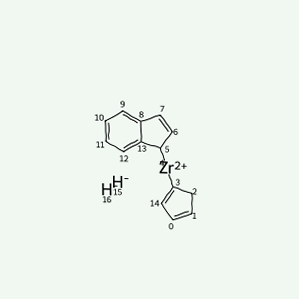 C1=CC[C]([Zr+2][CH]2C=Cc3ccccc32)=C1.[H-].[H-]